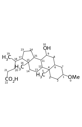 COC1CCC2(C)C(C1)CC(O)C1C2CCC2(C)C(C(C)CCC(=O)O)CCC12